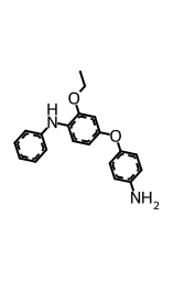 CCOc1cc(Oc2ccc(N)cc2)ccc1Nc1ccccc1